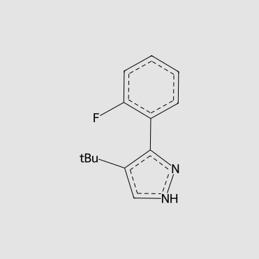 CC(C)(C)c1c[nH]nc1-c1ccccc1F